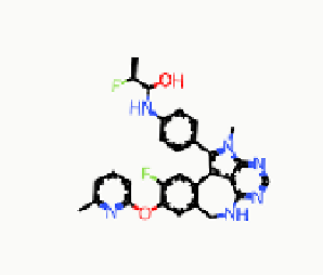 C=C(F)C(O)Nc1ccc(-c2c3c4c(ncnc4n2C)NCc2cc(Oc4cccc(C)n4)c(F)cc2-3)cc1